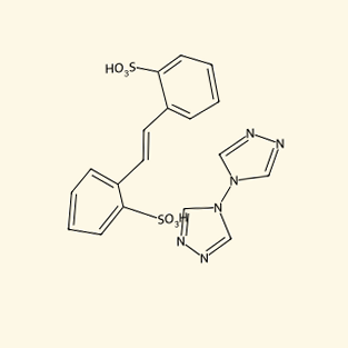 O=S(=O)(O)c1ccccc1C=Cc1ccccc1S(=O)(=O)O.c1nncn1-n1cnnc1